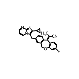 CC(C#N)=C1c2ccc(Cc3c(C4CC4)nc4ncccn34)cc2COc2cc(F)ccc21